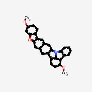 COc1ccc2c(c1)oc1cc3cc4c5ccc(OC)c6c7ccccc7n(c4cc3cc12)c56